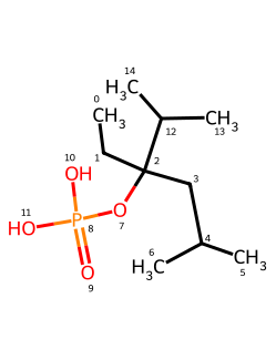 CCC(CC(C)C)(OP(=O)(O)O)C(C)C